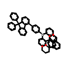 c1ccc(C2(c3ccccc3)c3ccccc3-c3c(-c4ccc(N(c5ccccc5-c5cccc6cccc(C7CCCCC7)c56)c5cccc6oc7ccccc7c56)cc4)cccc32)cc1